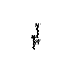 CCCCCCC[N+](C)(C)C.CCCCCCC[N+](C)(C)C.[O-]B([O-])F